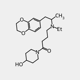 CCN(CCCC(=O)N1CCC(O)CC1)C(C)Cc1ccc2c(c1)OCCO2